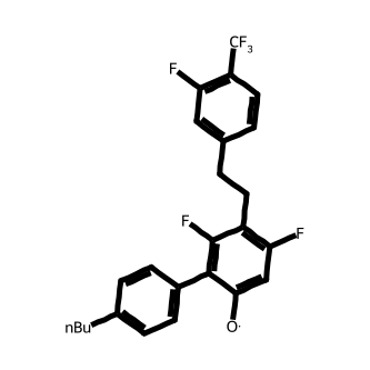 CCCCc1ccc(-c2c([O])cc(F)c(CCc3ccc(C(F)(F)F)c(F)c3)c2F)cc1